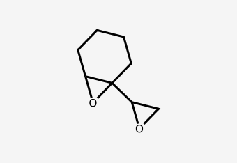 C1CCC2(C3CO3)OC2C1